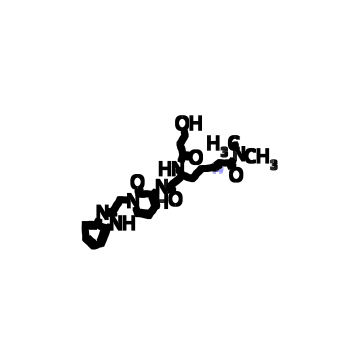 CN(C)C(=O)/C=C/CCC(NC(=O)CCO)C(=O)Nc1cccn(Cc2nc3ccccc3[nH]2)c1=O